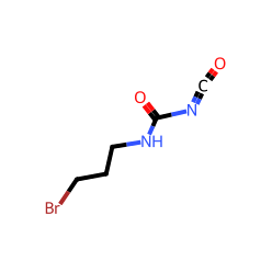 O=C=NC(=O)NCCCBr